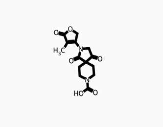 CC1=C(N2CC(=O)C3(CCN(C(=O)O)CC3)C2=O)COC1=O